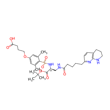 Cc1cc(OCCCC(=O)O)cc(C)c1S(=O)(=O)N[C@@H](CNC(=O)CCCCc1ccc2c(n1)NCCC2)C(=O)OC(C)(C)C